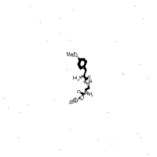 COc1ccc(C[C@H](N)c2nnn(CCNC(=O)OC(C)(C)C)n2)cc1